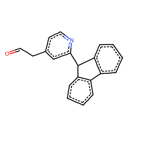 O=CCc1ccnc(C2c3ccccc3-c3ccccc32)c1